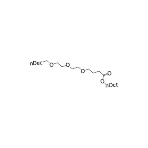 CCCCCCCCCCCOCCOCCOCCCC(=O)OCCCCCCCC